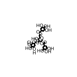 COc1cc(C(=O)OC2C(OC(=O)c3cc(O)c(O)c(O)c3)COC(COC(=O)c3cc(O)c(O)c(O)c3)C2O)cc(O)c1O